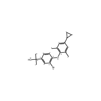 Cc1cc(C2CC2)cc(C)c1Oc1ccc(C(C)(C)O)cc1Br